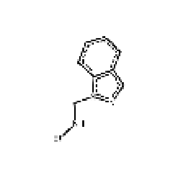 CCNCn1ncc2ccccc21